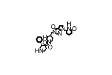 O=C(N1CCC(Cn2cnc3c(ccn3-c3cccc(=O)[nH]3)c2=O)CC1)[C@@]1(O)CCNC[C@H]1c1ccccc1